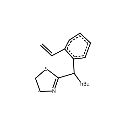 C=Cc1ccccc1C(CCCC)C1=N[CH]CS1